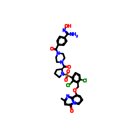 Cc1cc(=O)n2cccc(OCc3c(Cl)ccc(S(=O)(=O)N4CCC[C@H]4C(=O)N4CCN(C(=O)c5ccc(C(N)=NO)cc5)CC4)c3Cl)c2n1